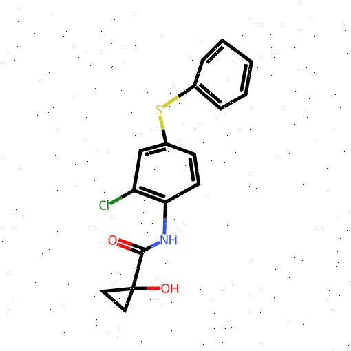 O=C(Nc1ccc(Sc2ccccc2)cc1Cl)C1(O)CC1